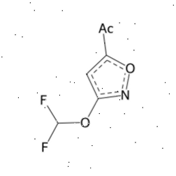 CC(=O)c1cc(OC(F)F)no1